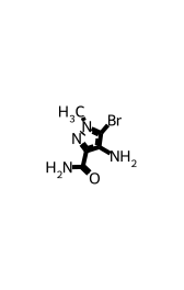 Cn1nc(C(N)=O)c(N)c1Br